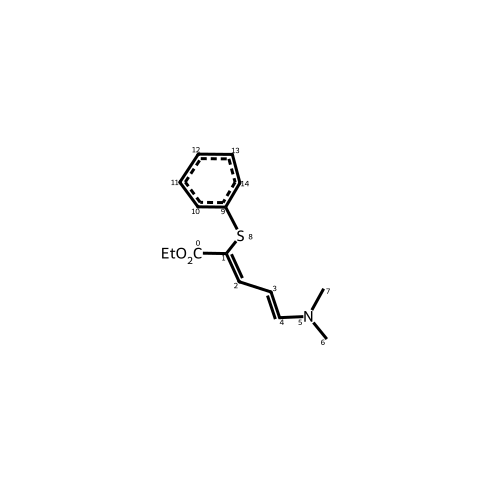 CCOC(=O)/C(=C/C=C/N(C)C)Sc1ccccc1